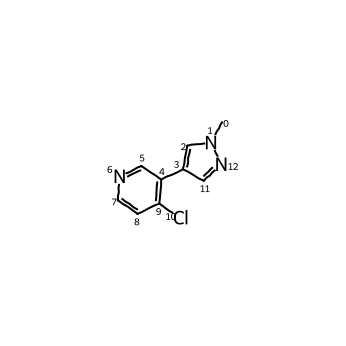 Cn1cc(-c2cnccc2Cl)cn1